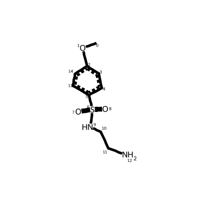 COc1ccc(S(=O)(=O)NCCN)cc1